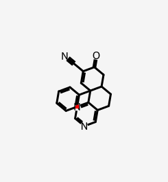 N#CC1=CC2(c3ccccc3)c3ncncc3CCC2CC1=O